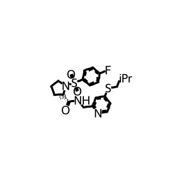 CC(C)CSc1ccnc(CNC(=O)[C@@H]2CCCN2S(=O)(=O)c2ccc(F)cc2)c1